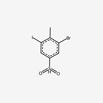 Cc1c(Br)cc([SH](=O)=O)cc1I